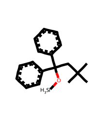 CC(C)(C)CC(O[SiH3])(c1ccccc1)c1ccccc1